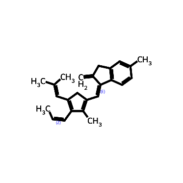 C=C1Cc2cc(C)ccc2/C1=C/C1=C(C)C(/C=C\C)=C(C=C(C)C)C1